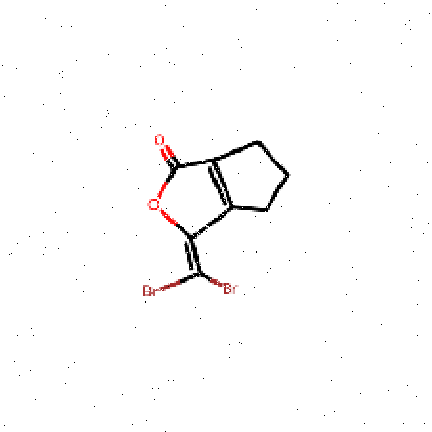 O=C1OC(=C(Br)Br)C2=C1CCC2